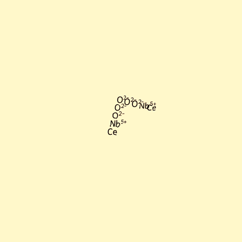 [Ce].[Ce].[Nb+5].[Nb+5].[O-2].[O-2].[O-2].[O-2].[O-2]